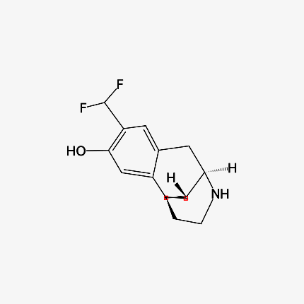 Oc1cc2c(cc1C(F)F)C[C@H]1NCC[C@@]23CCCC[C@@H]13